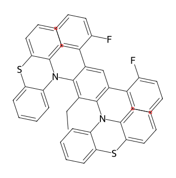 CCc1c(N2c3ccccc3Sc3ccccc32)c(-c2ccccc2F)cc(-c2ccccc2F)c1N1c2ccccc2Sc2ccccc21